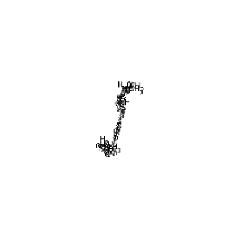 CN(C(=O)c1c(C=O)cccc1NCCCCOCCOCCOCCCCCCN1CCC(C(=O)Nc2ncc(SCc3ncc(C(C)(C)C)o3)s2)CC1)C1CCC(=O)NC1=O